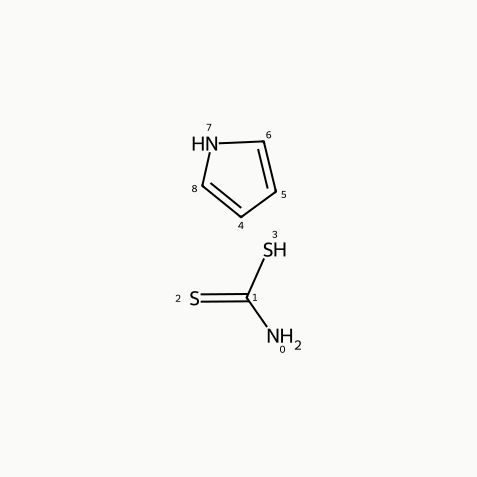 NC(=S)S.c1cc[nH]c1